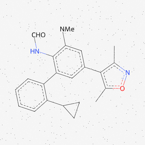 CNc1cc(-c2c(C)noc2C)cc(-c2ccccc2C2CC2)c1NC=O